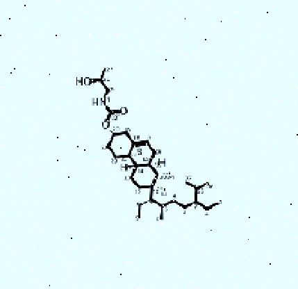 CCC(CC[C@@H](C)[C@@H](CC)[C@@]1(C)CC[C@H]2[C@@H](CC=C3C[C@@H](OC(=O)NCC(C)O)CC[C@@]32C)[C@@H]1C)C(C)C